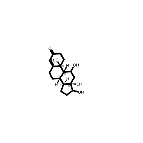 C[C@]12CCC(=O)C=C1CC[C@@H]1[C@H]2C(O)C[C@]2(C)C(O)CC[C@@H]12